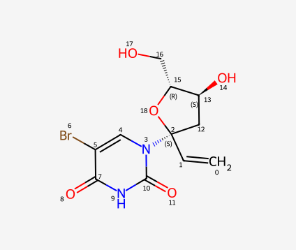 C=C[C@]1(n2cc(Br)c(=O)[nH]c2=O)C[C@H](O)[C@@H](CO)O1